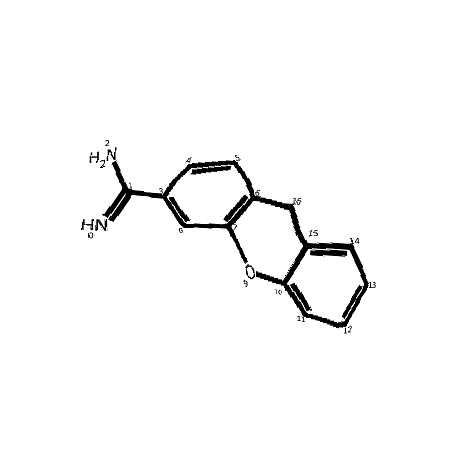 N=C(N)c1ccc2c(c1)Oc1ccccc1C2